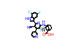 N#Cc1c(-c2c[nH]c3c(F)cc(F)cc23)nc(N[C@@H]2C3CCC(CC3)[C@H]2C(=O)O)c(F)c1-c1cccnc1